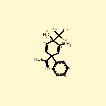 CC1=CC(C(=O)O)(c2ccccc2)C=CC1(C)C(F)(F)F